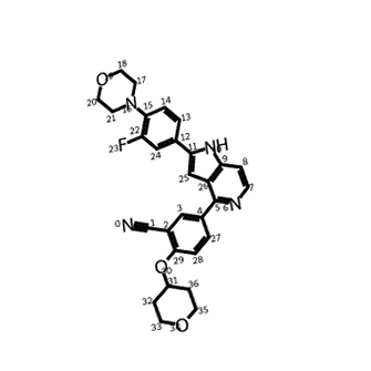 N#Cc1cc(-c2nccc3[nH]c(-c4ccc(N5CCOCC5)c(F)c4)cc23)ccc1OC1CCOCC1